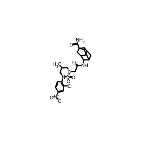 CC1CN(CC(=O)NC2C3CC4CC2CC(C(N)=O)(C4)C3)S(=O)(=O)N(c2ccc([N+](=O)[O-])cc2Cl)C1